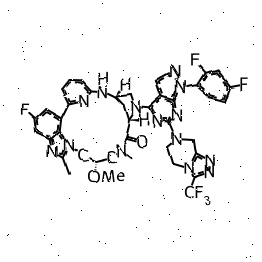 CO[C@H]1CN(C)C(=O)[C@@H]2C[C@@H](CN2c2nc(N3CCn4c(nnc4C(F)(F)F)C3)nc3c2cnn3-c2ccc(F)cc2F)Nc2cccc(n2)-c2cc(F)cc3nc(C)n(c23)C1